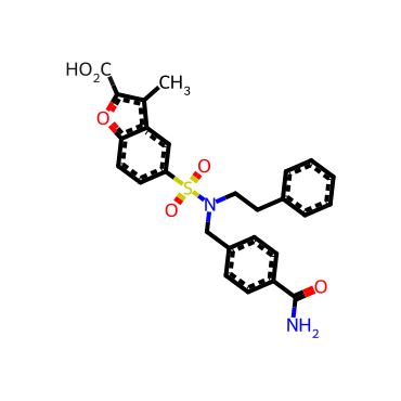 Cc1c(C(=O)O)oc2ccc(S(=O)(=O)N(CCc3ccccc3)Cc3ccc(C(N)=O)cc3)cc12